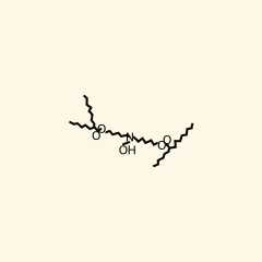 CCCCCCCCC(CCCCCC)C(=O)OCCCCCCCN(CCO)CCCCCCOC(=O)C(CCCCCC)CCCCCCCC